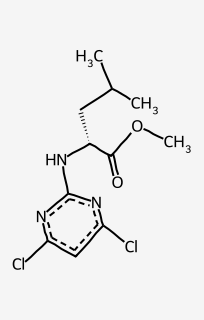 COC(=O)[C@@H](CC(C)C)Nc1nc(Cl)cc(Cl)n1